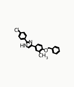 Cc1cc(-c2c[nH]c(-c3ccc(Cl)cc3)n2)ccc1OCc1ccccc1